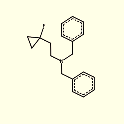 FC1(CCN(Cc2ccccc2)Cc2ccccc2)CC1